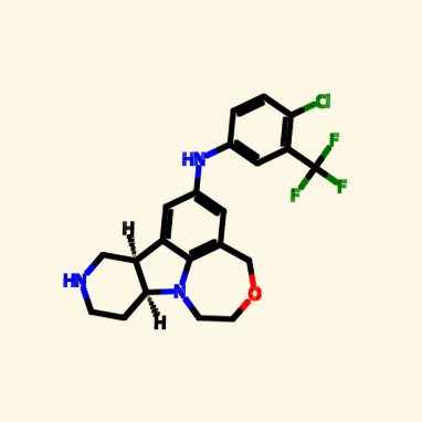 FC(F)(F)c1cc(Nc2cc3c4c(c2)[C@@H]2CNCC[C@@H]2N4CCOC3)ccc1Cl